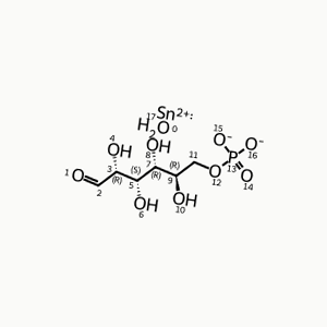 O.O=C[C@H](O)[C@@H](O)[C@H](O)[C@H](O)COP(=O)([O-])[O-].[Sn+2]